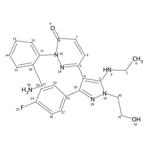 CCNc1c(-c2ccc(=O)n(-c3ccccc3CN)n2)c(-c2ccc(F)cc2)nn1CCO